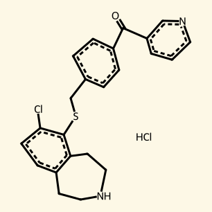 Cl.O=C(c1ccc(CSc2c(Cl)ccc3c2CCNCC3)cc1)c1cccnc1